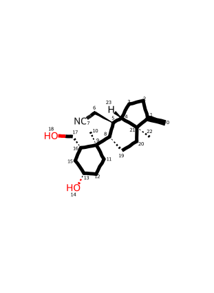 C=C1CC[C@H]2[C@H](CC#N)[C@@H]([C@@]3(C)CC[C@H](O)C[C@@H]3CO)CC[C@]12C